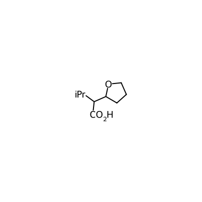 CC(C)C(C(=O)O)C1CCCO1